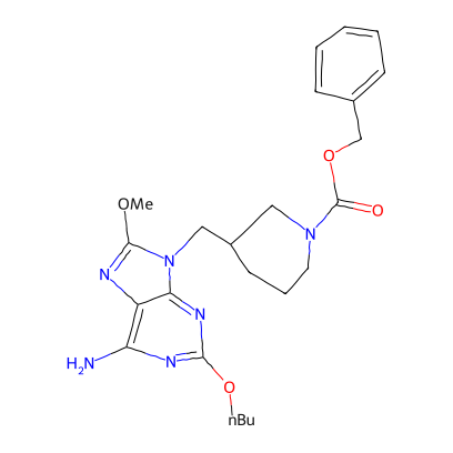 CCCCOc1nc(N)c2nc(OC)n(CC3CCCN(C(=O)OCc4ccccc4)C3)c2n1